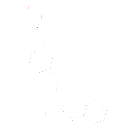 CC\C=C/C(/C=C/CC(=O)NO)=C\CSN(C)NC1=CC=CCC1